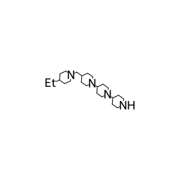 CCC1CCN(CC2CCN(C3CCN(C4CCNCC4)CC3)CC2)CC1